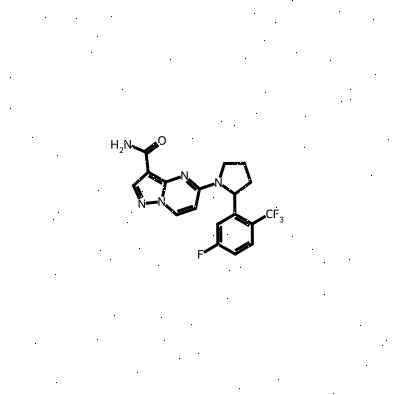 NC(=O)c1cnn2ccc(N3CCCC3c3cc(F)ccc3C(F)(F)F)nc12